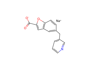 O=C([O-])c1cc2cc(Cc3cccnc3)ccc2o1.[Na+]